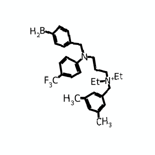 Bc1ccc(CN(CCC[N+](CC)(CC)Cc2cc(C)cc(C)c2)c2ccc(C(F)(F)F)cc2)cc1